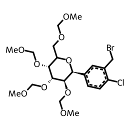 COCOCC1O[C@@H](c2ccc(Cl)c(CBr)c2)[C@@H](OCOC)[C@H](OCOC)[C@@H]1OCOC